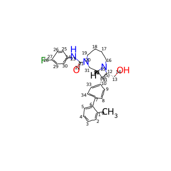 Cc1ccccc1-c1ccc([C@H]2[C@@H](CO)N3CCCCN(C(=O)Nc4ccc(F)cc4)C[C@@H]23)cc1